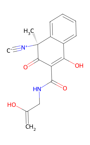 [C-]#[N+][C@]1(C)C(=O)C(C(=O)NCC(=C)O)=C(O)c2ccccc21